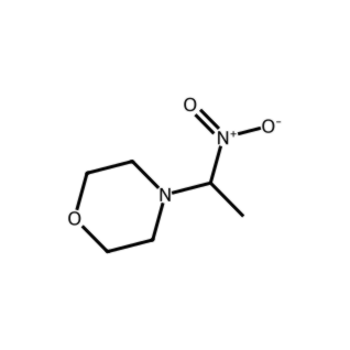 CC(N1CCOCC1)[N+](=O)[O-]